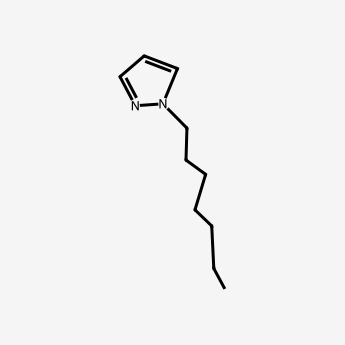 CCCCCCCn1cccn1